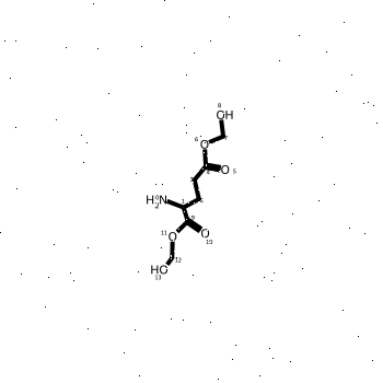 NC(CCC(=O)OCO)C(=O)OCO